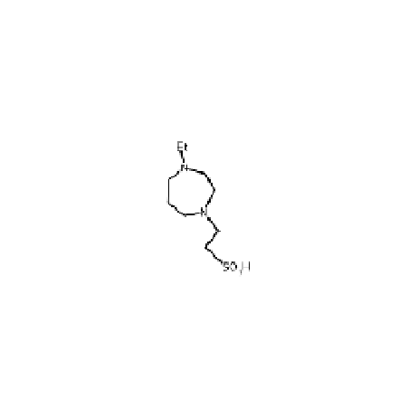 CCN1CCCN(CCS(=O)(=O)O)CC1